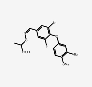 CCOC(=O)C(C)O/N=C\c1cc(Br)c(Oc2ccc(OC)c(C(C)CC)c2)c(Br)c1